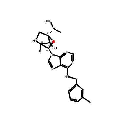 CN(C=O)[C@]12CN[C@@H]([C@H](n3cnc4c(NCc5cccc(I)c5)ncnc43)O1)[C@@H]2O